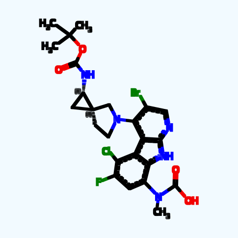 CN(C(=O)O)c1cc(F)c(Cl)c2c1[nH]c1ncc(Br)c(N3CC[C@@]4(C[C@@H]4NC(=O)OC(C)(C)C)C3)c12